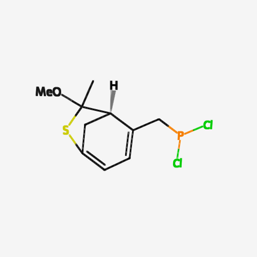 COC1(C)SC2=CC=C(CP(Cl)Cl)[C@H]1C2